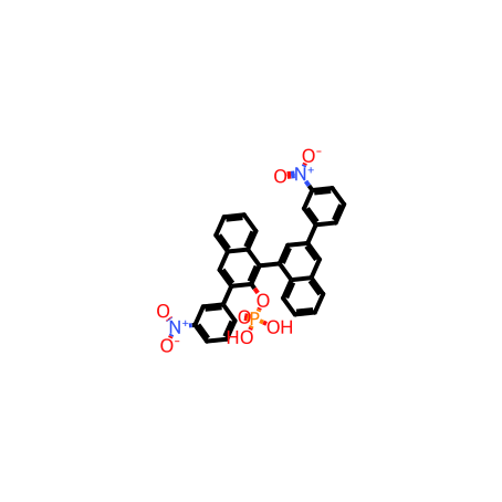 O=[N+]([O-])c1cccc(-c2cc(-c3c(OP(=O)(O)O)c(-c4cccc([N+](=O)[O-])c4)cc4ccccc34)c3ccccc3c2)c1